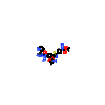 CC(C)OC(=O)NC1CCC(c2ncc(-c3ccc(NC(=O)N[C@H](C)c4ccccn4)cc3S(=O)(=O)NC(C)(C)C)s2)CC1